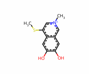 CSc1c[n+](C)cc2cc(O)c(O)cc12